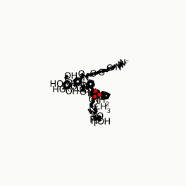 C[C@@H]1CNCCN1CCOc1cc(N2C3CCC2CN(c2cc(-c4ccccc4OS(=O)(=O)Oc4cc(C(=O)NCCOCCOCCOCCN=[N+]=[N-])ccc4O[C@@H]4O[C@H](CO)[C@H](O)[C@H](O)[C@H]4O)nnc2N)C3)ccn1.O=C(O)C(F)(F)F